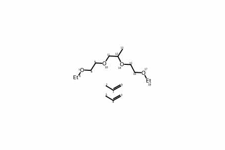 C=CC.C=CC.CCOCCOCC(C)OCCOCC